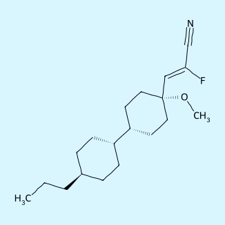 CCC[C@H]1CC[C@H]([C@H]2CC[C@@](C=C(F)C#N)(OC)CC2)CC1